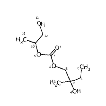 CCC(C)(O)COC(=O)OC(C)CO